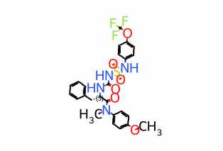 COc1ccc(N(C)C(=O)[C@H](Cc2ccccc2)NC(=O)NS(=O)(=O)Nc2ccc(OC(F)(F)F)cc2)cc1